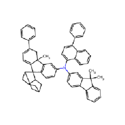 CC12CC(c3ccccc3)=CC=C1C1(c3ccc(N(c4ccc5c(c4)C(C)(C)c4ccccc4-5)c4ccc(-c5ccccc5)c5ccccc45)cc32)C2CC3CC(C2)C1C3